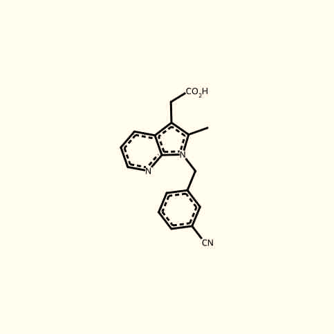 Cc1c(CC(=O)O)c2cccnc2n1Cc1cccc(C#N)c1